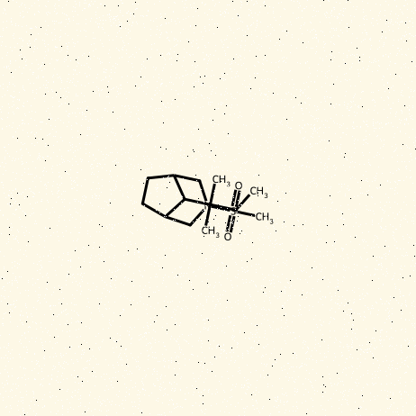 CCC(C)(C)C1C2CCC1CN(S(C)(=O)=O)C2